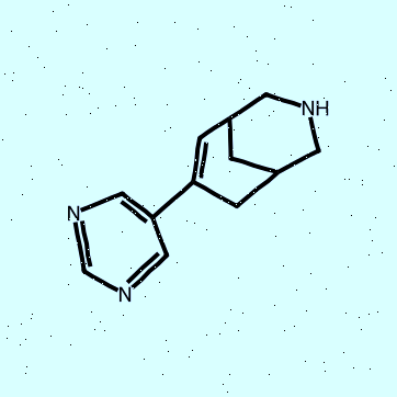 C1=C(c2cncnc2)CC2CNCC1C2